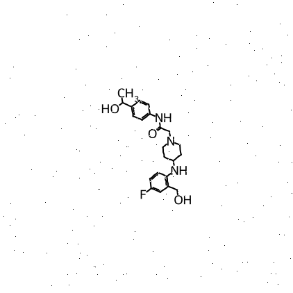 CC(O)c1ccc(NC(=O)CN2CCC(Nc3ccc(F)cc3CO)CC2)cc1